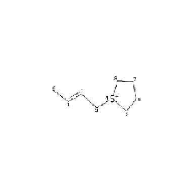 CC=CC[S+]1CCCC1